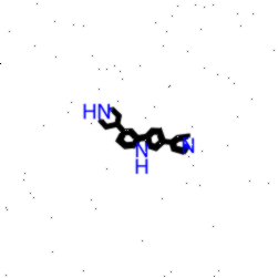 c1cc(-c2ccc3c(c2)[nH]c2ccc(C4CCNCC4)cc23)ccn1